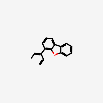 C=C/C(=C\C)c1cccc2c1oc1ccccc12